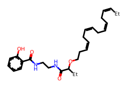 CC/C=C\C/C=C\C/C=C\C/C=C\CCOC(CC)C(=O)NCCNC(=O)c1ccccc1O